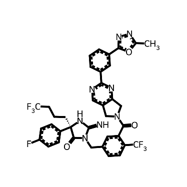 Cc1nnc(-c2cccc(-c3ncc4c(n3)CN(C(=O)c3cc(CN5C(=N)N[C@](CCCC(F)(F)F)(c6ccc(F)cc6)C5=O)ccc3C(F)(F)F)C4)c2)o1